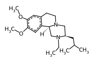 CCN1C[C@H]2c3cc(OC)c(OC)cc3CCN2C[C@H]1CC(C)C